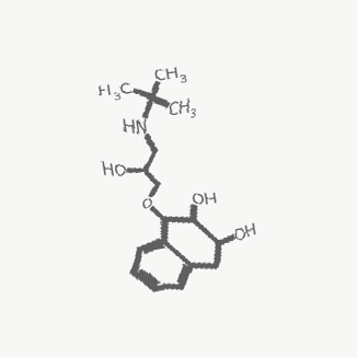 CC(C)(C)NCC(O)COC1c2ccccc2CC(O)C1O